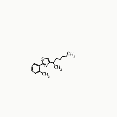 CCCCCC(C)c1csc(-c2ccccc2C)n1